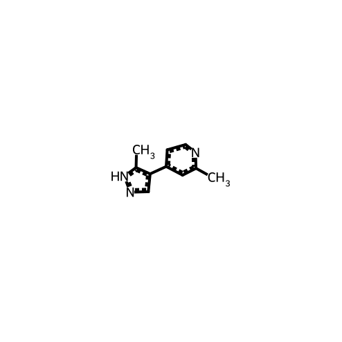 Cc1cc(-c2cn[nH]c2C)ccn1